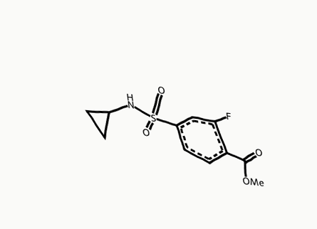 COC(=O)c1ccc(S(=O)(=O)NC2CC2)cc1F